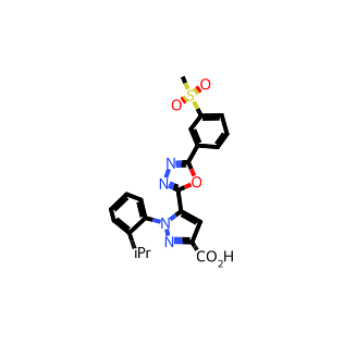 CC(C)c1ccccc1-n1nc(C(=O)O)cc1-c1nnc(-c2cccc(S(C)(=O)=O)c2)o1